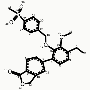 CCc1ccc(-c2ccc3c(c2)COC3=O)c(OCc2ccc(S(C)(=O)=O)cc2)c1OC